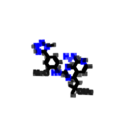 COc1cc(-c2nnnn2C)ccc1Nc1nc(CC(C)(C)OC)c2ccnc(N)c2n1